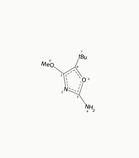 COc1nc(N)oc1C(C)(C)C